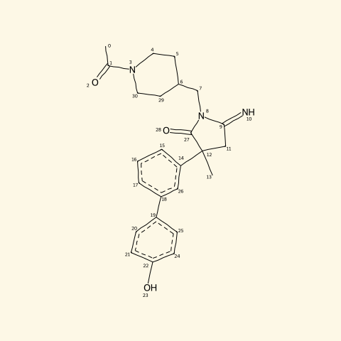 CC(=O)N1CCC(CN2C(=N)CC(C)(c3cccc(-c4ccc(O)cc4)c3)C2=O)CC1